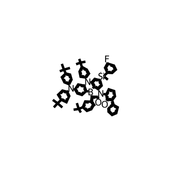 CC(C)(C)c1ccc(N(c2ccc(C(C)(C)C)cc2)c2ccc3c(c2)N(c2ccc(C(C)(C)C)cc2)c2cc([Si](C)(C)c4cccc(F)c4)cc4c2B3c2c(oc3ccc(C(C)(C)C)cc23)N4c2cccc3c2oc2ccccc23)cc1